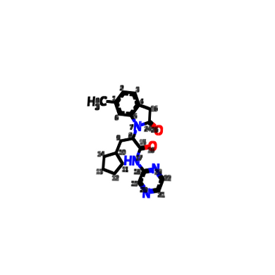 Cc1ccc2c(c1)N(C(CC1CCCC1)C(=O)Nc1cnccn1)C(=O)C2